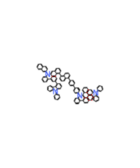 c1ccc(N(c2c#cc(-c3ccc(-c4cccc5c(-c6cccc7cc(N(c8ccc9ccccc9c8)c8ccccc8-c8cccc(-c9cccc%10c9c9ccccc9n%10-c9ccccc9)c8)ccc67)cccc45)cc3)cc2)c2cc3ccccc3c3ccccc23)c(-c2cccc(-c3cccc4c3c3ccccc3n4-c3ccccc3)c2)c#1